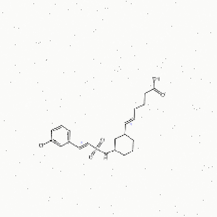 O=C(O)CCC/C=C/C1CCCC(NS(=O)(=O)/C=C/c2cccc(Cl)c2)C1